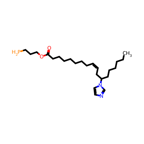 CCCCCCC(C/C=C\CCCCCCCC(=O)OCCCP)n1ccnc1